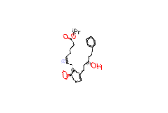 CC(C)OC(=O)CCC/C=C\C[C@H]1C(=O)CC=C1CC[C@@H](O)CCc1ccccc1